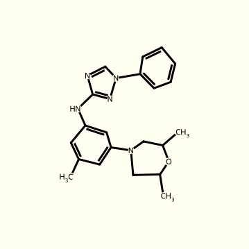 Cc1cc(Nc2ncn(-c3ccccc3)n2)cc(N2CC(C)OC(C)C2)c1